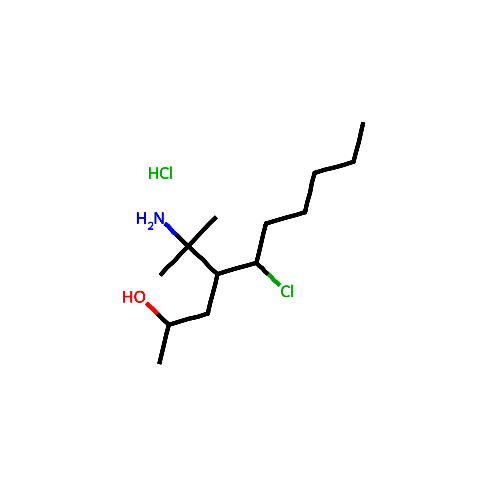 CCCCCC(Cl)C(CC(C)O)C(C)(C)N.Cl